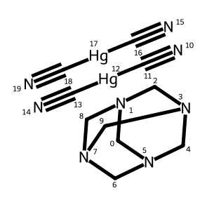 C1N2CN3CN1CN(C2)C3.N#[C][Hg][C]#N.N#[C][Hg][C]#N